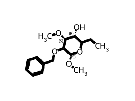 CCC1O[C@H](OC)C(OCc2ccccc2)[C@@H](OC)[C@@H]1O